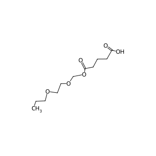 CCCOCCOCOC(=O)CCCC(=O)O